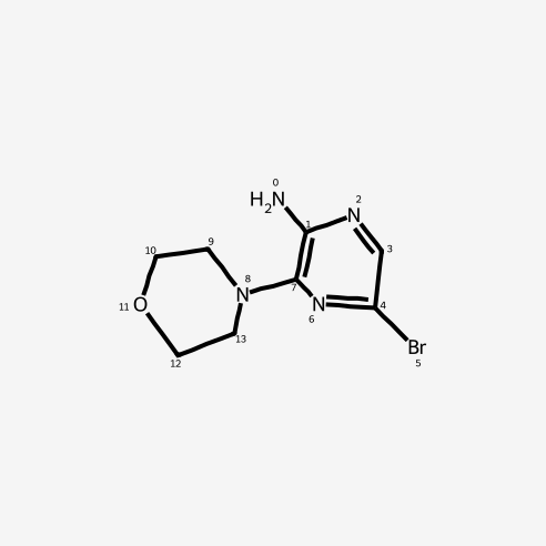 Nc1ncc(Br)nc1N1CCOCC1